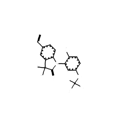 C=Cc1ccc2c(c1)C(C)(C)C(=O)N2c1cc(OC(F)(F)F)ccc1F